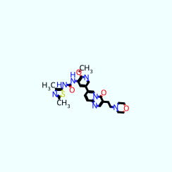 COc1ncc(-c2ccc3ncc(CCN4CCOCC4)c(=O)n3c2)cc1NC(=O)Nc1sc(C)nc1C